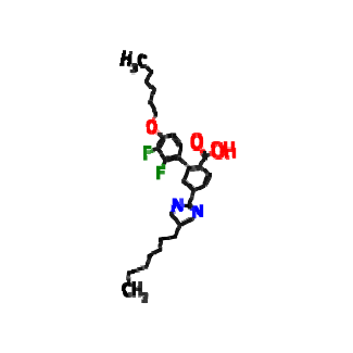 CCCCCCCc1cnc(-c2ccc(C(=O)O)c(-c3ccc(OCCCCCC)c(F)c3F)c2)nc1